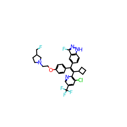 FCC1CCN(CCOc2ccc(/C(=C(\c3ncc(C(F)(F)F)cc3Cl)C3CCC3)c3ccc4[nH]nc(F)c4c3)cc2)C1